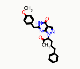 COc1ccc(Cc2nc3c(cnn3C(CCCc3ccccc3)C(C)=O)c(=O)[nH]2)cc1